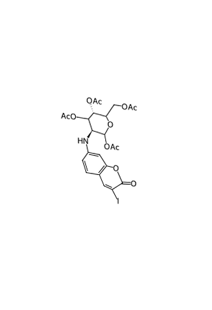 CC(=O)OCC1OC(OC(C)=O)[C@@H](Nc2ccc3cc(I)c(=O)oc3c2)C(OC(C)=O)[C@@H]1OC(C)=O